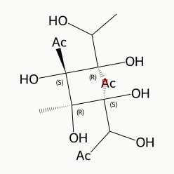 CC(=O)C(O)[C@](C)(O)[C@@](C)(O)[C@@](O)(C(C)=O)[C@@](O)(C(C)=O)C(C)O